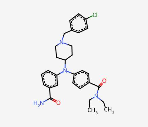 CCN(CC)C(=O)c1ccc(N(c2cccc(C(N)=O)c2)C2CCN(Cc3ccc(Cl)cc3)CC2)cc1